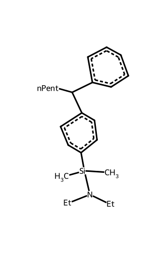 CCCCCC(c1ccccc1)c1ccc([Si](C)(C)N(CC)CC)cc1